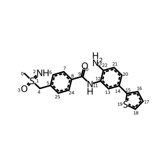 CS(=N)(=O)Cc1ccc(C(=O)Nc2cc(-c3cccs3)ccc2N)cc1